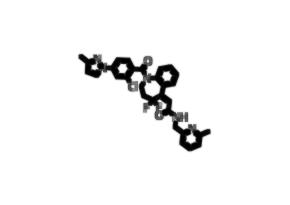 Cc1cccc(CNC(=O)/C=C2/c3ccccc3N(C(=O)c3ccc(-n4ccc(C)n4)cc3Cl)CCC2(F)F)n1